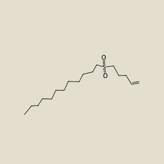 C=CCCCS(=O)(=O)CCCCCCCCCCCC